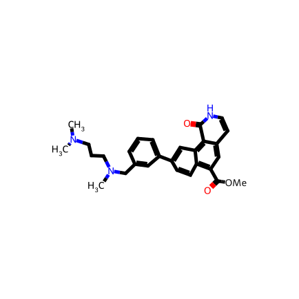 COC(=O)c1cc2cc[nH]c(=O)c2c2cc(-c3cccc(CN(C)CCCN(C)C)c3)ccc12